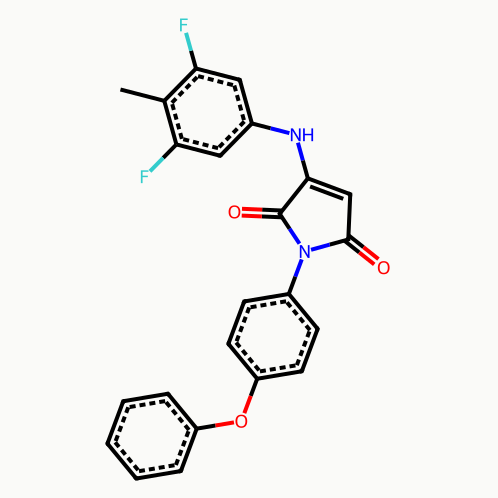 Cc1c(F)cc(NC2=CC(=O)N(c3ccc(Oc4ccccc4)cc3)C2=O)cc1F